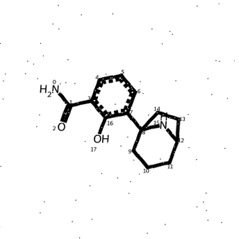 NC(=O)c1cccc(C23CCCC(CC2)N3)c1O